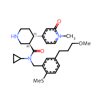 COCCCc1ccc(SC)c(CN(C(=O)[C@H]2CNCC[C@@H]2c2ccn(C)c(=O)c2)C2CC2)c1